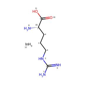 N=C(N)NCCC[C@H](N)C(=O)O.[InH3]